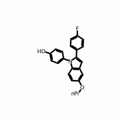 CCCOc1ccc2c(c1)cc(-c1ccc(F)cc1)n2-c1ccc(O)cc1